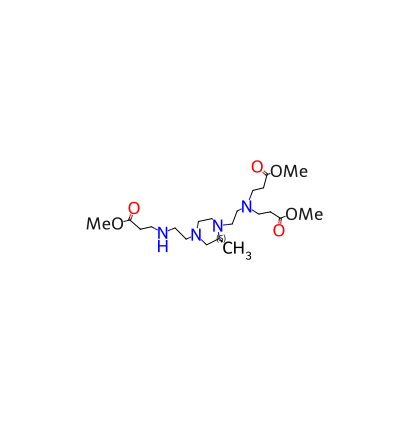 COC(=O)CCNCCN1CCN(CCN(CCC(=O)OC)CCC(=O)OC)[C@@H](C)C1